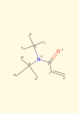 C=CC(=O)N(C(C)(C)C)C(C)(C)C